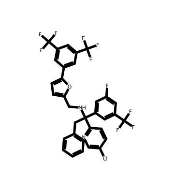 Fc1cc(C(F)(F)F)cc(C(Cc2ccccc2)(NCc2ccc(-c3cc(C(F)(F)F)cc(C(F)(F)F)c3)o2)c2ccc(Cl)cn2)c1